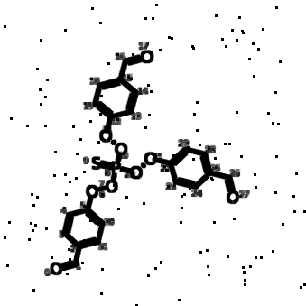 O=Cc1ccc(OOP(=S)(OOc2ccc(C=O)cc2)OOc2ccc(C=O)cc2)cc1